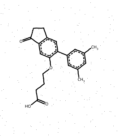 Cc1cc(C)cc(-c2cc3c(cc2OCCCC(=O)O)C(=O)CC3)c1